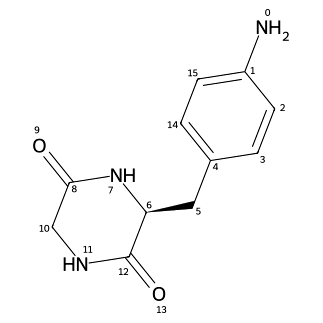 Nc1ccc(C[C@@H]2NC(=O)CNC2=O)cc1